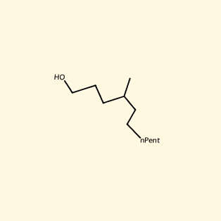 CCCCCCCC(C)CCCO